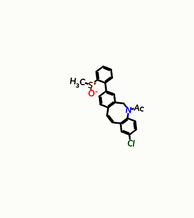 CC(=O)N1Cc2cc(-c3ccccc3[S+](C)[O-])ccc2C=Cc2cc(Cl)ccc21